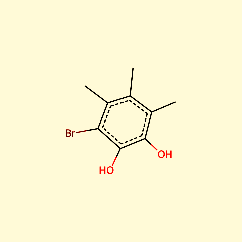 Cc1c(C)c(O)c(O)c(Br)c1C